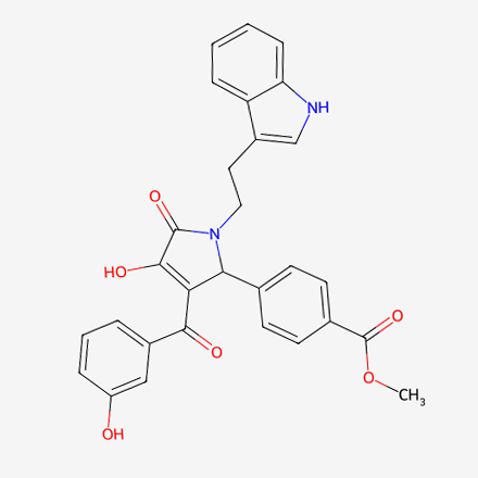 COC(=O)c1ccc(C2C(C(=O)c3cccc(O)c3)=C(O)C(=O)N2CCc2c[nH]c3ccccc23)cc1